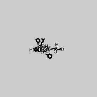 COCCNC(=O)CCN(C)C(=O)O[C@@H](Cc1ccccc1)C(=O)N(C)[C@@H](Cc1c[nH]cn1)C(=O)N[C@@H](CC1CCCCC1)[C@@H](O)CCC(C)C